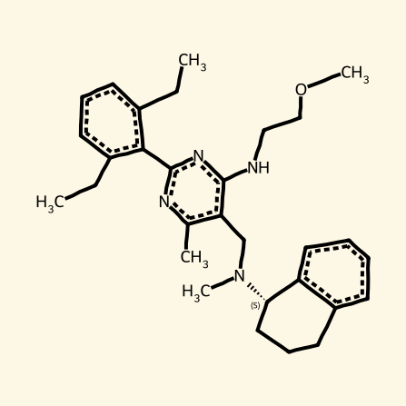 CCc1cccc(CC)c1-c1nc(C)c(CN(C)[C@H]2CCCc3ccccc32)c(NCCOC)n1